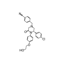 N#Cc1ccc(CN2CC(=O)N(c3ccc(OCCO)cc3)[C@H](c3ccc(Cl)cc3)C2)cc1